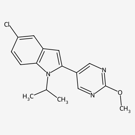 COc1ncc(-c2cc3cc(Cl)ccc3n2C(C)C)cn1